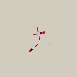 O=BOP(=O)([O-])[O-].[Sr+2]